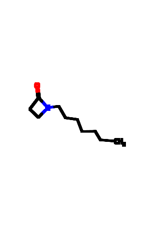 CCCCCCCN1CCC1=O